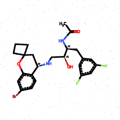 CC(=O)N[C@@H](Cc1cc(F)cc(F)c1)[C@H](O)CN[C@H]1CC2(CCC2)Oc2cc(Br)ccc21